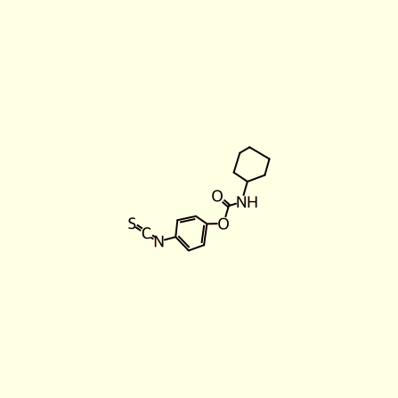 O=C(NC1CCCCC1)Oc1ccc(N=C=S)cc1